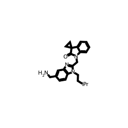 CC(C)CCn1c(CN2C(=O)C3(CC3)c3ccccc32)nc2cc(CN)ccc21